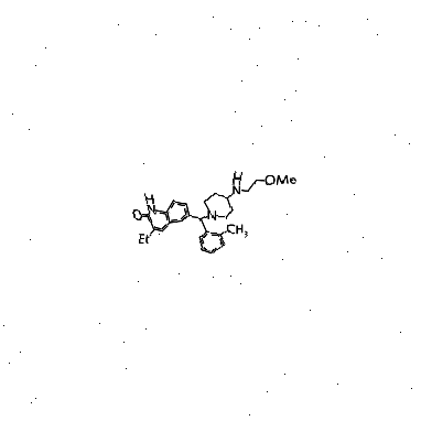 CCc1cc2cc(C(c3ccccc3C)N3CCC(NCCOC)CC3)ccc2[nH]c1=O